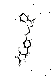 CN(CCCOc1ccc(CC2SC(=O)NC2=O)cc1)C1CC=CC=N1